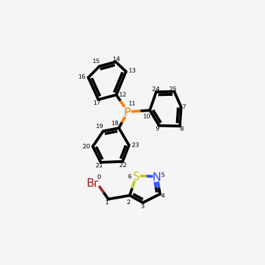 BrCc1ccns1.c1ccc(P(c2ccccc2)c2ccccc2)cc1